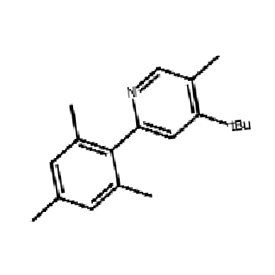 Cc1cc(C)c(-c2cc(C(C)(C)C)c(C)cn2)c(C)c1